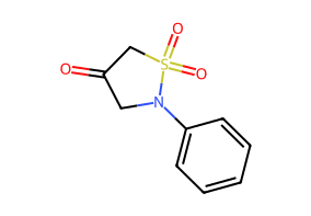 O=C1CN(c2ccccc2)S(=O)(=O)C1